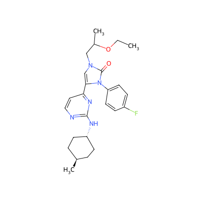 CCOC(C)Cn1cc(-c2ccnc(N[C@H]3CC[C@H](C)CC3)n2)n(-c2ccc(F)cc2)c1=O